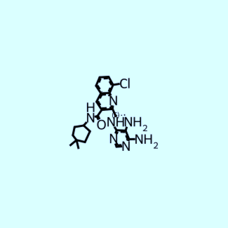 C[C@H](Nc1ncnc(N)c1N)c1nc2c(Cl)cccc2cc1C(=O)NC1CCC(C)(C)CC1